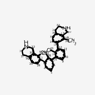 Cc1c(-c2cccc(-c3cccc(-c4ccc5c(c4C)CNCC5)c3Cl)c2Cl)ccc2c1CNCC2